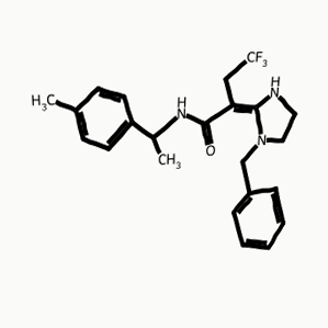 Cc1ccc(C(C)NC(=O)/C(CC(F)(F)F)=C2/NCCN2Cc2ccccc2)cc1